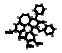 COc1ccc(CC2c3cc(OC)c(OC)cc3CCCN2C(C(=O)NCc2cccnc2)c2ccccc2)cc1OC